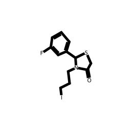 O=C1CSC(c2cccc(F)c2)N1CCCI